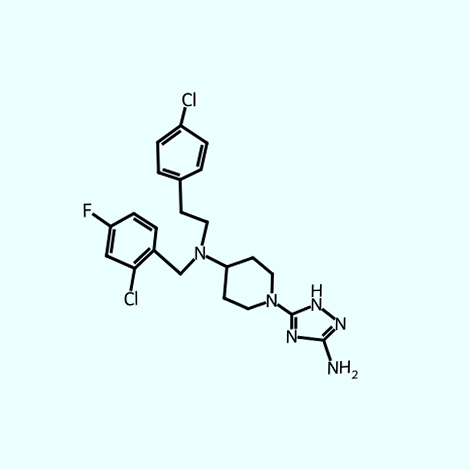 Nc1n[nH]c(N2CCC(N(CCc3ccc(Cl)cc3)Cc3ccc(F)cc3Cl)CC2)n1